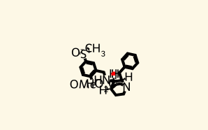 COc1ccc([S+](C)[O-])cc1CN[C@H]1[C@H]2CCN(C[C@@H]2C(=O)O)[C@H]1Cc1ccccc1